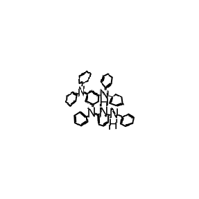 C1=CCCC(N(C2=CCCC=C2)C2=CC(N(C3=CC=CC(Nc4ccccc4)N3)c3ccccc3)CC(N(C3=CCCC=C3)C3=CC=CCC3)=C2)=C1